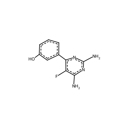 Nc1nc(N)c(F)c(-c2cccc(O)c2)n1